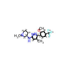 COc1cc(C(F)(F)F)ccc1-c1nnc(N[C@@H]2CCCN(C)C2)cc1C